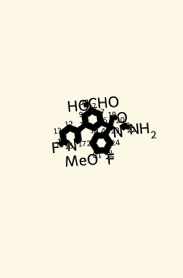 COc1ccc(C2(c3cccc(-c4ccc(F)nc4)c3)COC(N)=N2)cc1F.O=CO